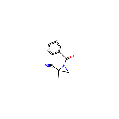 CC1(C#N)CN1C(=O)c1ccccc1